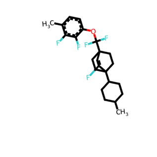 Cc1ccc(OC(F)(F)C23C=C(F)C(C4CCC(C)CC4)(CC2)CC3)c(F)c1F